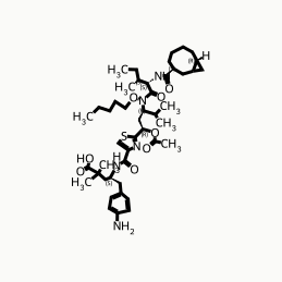 CCCCCON(C(=O)[C@@H](NC(=O)[C@H]1CCCC[C@@H]2CC2C1)[C@@H](C)CC)[C@H](C[C@@H](OC(C)=O)c1nc(C(=O)N[C@@H](Cc2ccc(N)cc2)CC(C)(C)C(=O)O)cs1)C(C)C